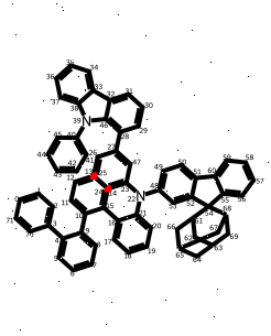 c1ccc(-c2ccccc2-c2ccccc2-c2ccccc2N(c2cccc(-c3cccc4c5ccccc5n(-c5ccccc5)c34)c2)c2ccc3c(c2)C2(c4ccccc4-3)C3CC4CC(C3)CC2C4)cc1